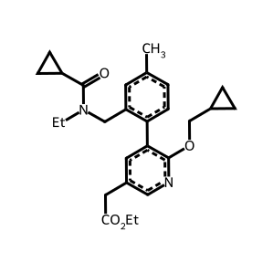 CCOC(=O)Cc1cnc(OCC2CC2)c(-c2ccc(C)cc2CN(CC)C(=O)C2CC2)c1